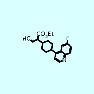 CCOC(=O)C(CO)C1CCC(c2ccnc3ccc(F)cc23)CC1